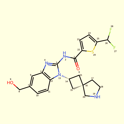 O=C(Nc1nc2cc(CO)ccc2n1[C@H]1C[C@@]2(CCNC2)C1)c1ccc(C(F)F)s1